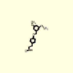 COc1cc(COc2ccc(CCNCl)cc2)cc(OC)c1